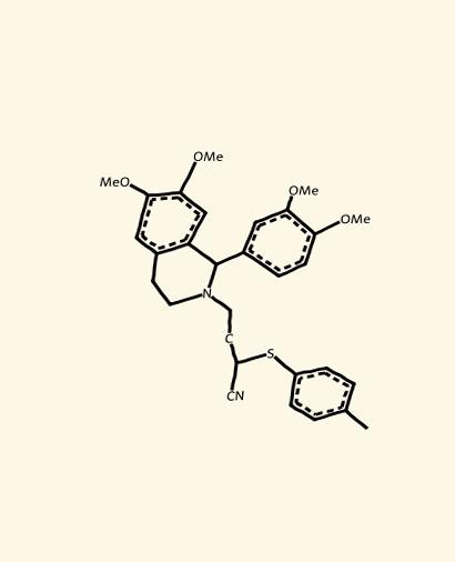 COc1ccc(C2c3cc(OC)c(OC)cc3CCN2CCC(C#N)Sc2ccc(C)cc2)cc1OC